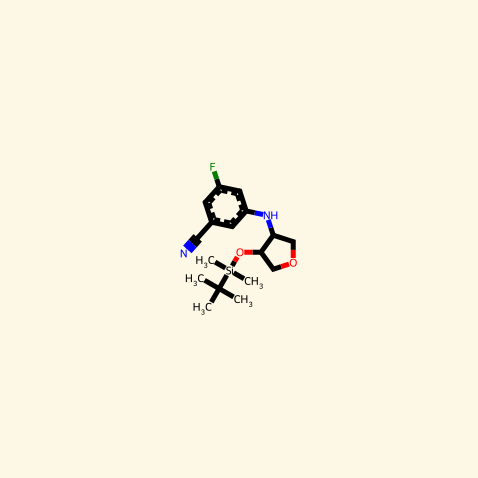 CC(C)(C)[Si](C)(C)OC1COCC1Nc1cc(F)cc(C#N)c1